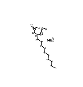 Br.CCCCCCCCCCC(CN(C)C)OCC